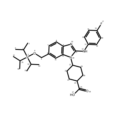 CC(C)[Si](OCc1ccc2nc(Nc3ccc(F)cc3)n(C3CCC(C(=O)O)CC3)c2c1)(C(C)C)C(C)C